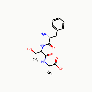 C[C@H](NC(=O)[C@H](NC(=O)[C@H](N)Cc1ccccc1)[C@H](C)O)C(=O)O